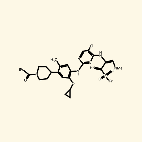 CN/C=C(/Nc1nc(Nc2cc(C)c(C3CCN(C(=O)C(C)C)CC3)cc2OC2CC2)ncc1Cl)C(=N)S(=O)(=O)C(C)C